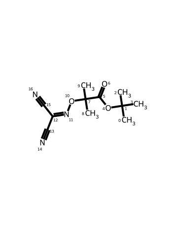 CC(C)(C)OC(=O)C(C)(C)ON=C(C#N)C#N